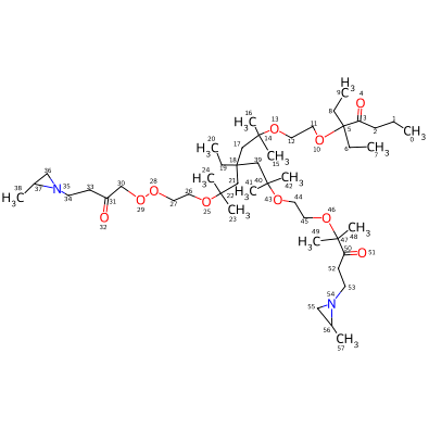 CCCC(=O)C(CC)(CC)OCCOC(C)(C)CC(CC)(CC(C)(C)OCCOOCC(=O)CCN1CC1C)CC(C)(C)OCCOC(C)(C)C(=O)CCN1CC1C